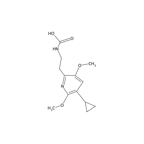 COc1cc(C2CC2)c(OC)nc1CCNC(=O)O